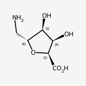 NC[C@H]1O[C@H](C(=O)O)[C@H](O)[C@@H]1O